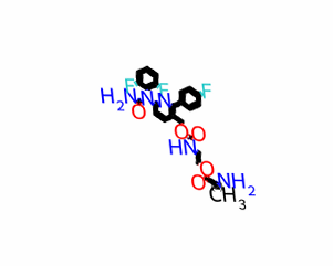 C[C@H](N)C(=O)OCCNC(=O)OCc1ccc(N(C(N)=O)c2c(F)cccc2F)nc1-c1ccc(F)cc1